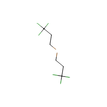 ClC(Cl)(Cl)CCSCCC(Cl)(Cl)Cl